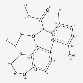 CCCOC(C(=O)OC)c1c(C)ccc(O)c1-c1ccc2c(c1)CCCO2